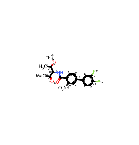 COC(=O)[C@H](NC(=O)c1ccc(-c2ccc(F)c(F)c2)cc1[N+](=O)[O-])C(C)OC(C)(C)C